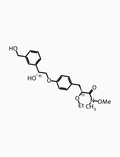 CCO[C@@H](Cc1ccc(OC[C@H](O)c2cccc(CO)c2)cc1)C(=O)N(C)OC